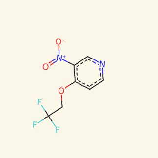 O=[N+]([O-])c1cnccc1OCC(F)(F)F